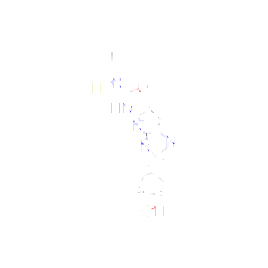 C=CCN(S)C(=O)Nc1ccc2ncc(-c3ccc(O)cc3)nc2n1